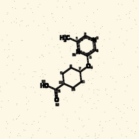 Cc1cncc(OC2CCC(C(=O)O)CC2)n1